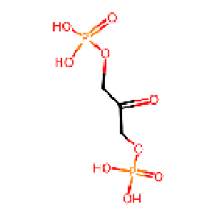 O=C(COP(=O)(O)O)COP(=O)(O)O